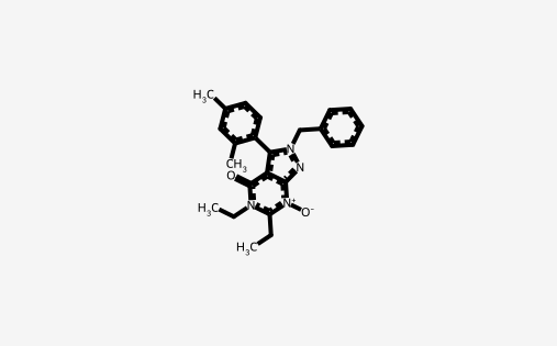 CCc1n(CC)c(=O)c2c(-c3ccc(C)cc3C)n(Cc3ccccc3)nc2[n+]1[O-]